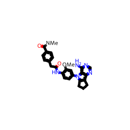 CNC(=O)c1ccc(CC(=O)Nc2ccc(-n3c4c(c5ncnc(N)c53)CCC4)cc2OC)cc1